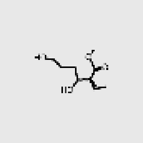 CC=C(C(=O)OC)C(O)CCCO